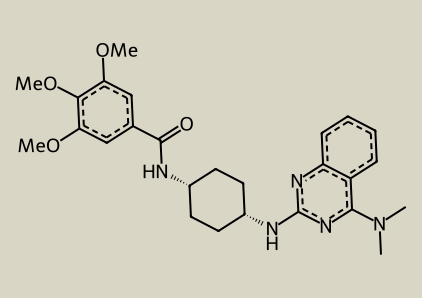 COc1cc(C(=O)N[C@H]2CC[C@@H](Nc3nc(N(C)C)c4ccccc4n3)CC2)cc(OC)c1OC